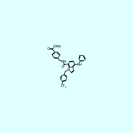 COC(=O)c1ccc(CNC(=O)c2ccc(Nc3ccccc3)c3ccn(Cc4ccc(C(F)(F)F)cc4)c23)cc1